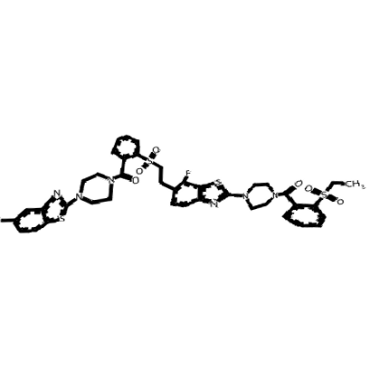 CCS(=O)(=O)c1ccccc1C(=O)N1CCN(c2nc3ccc(CCS(=O)(=O)c4ccccc4C(=O)N4CCN(c5nc6cc(F)ccc6s5)CC4)c(F)c3s2)CC1